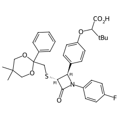 CC1(C)COC(CS[C@H]2C(=O)N(c3ccc(F)cc3)[C@@H]2c2ccc(OC(C(=O)O)C(C)(C)C)cc2)(c2ccccc2)OC1